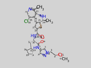 COCCn1cc(NC(=O)[C@H](CC2CCCC2)NC(=O)c2ccc([C@H](C)Nc3cc(Cl)cnc3C)s2)cn1